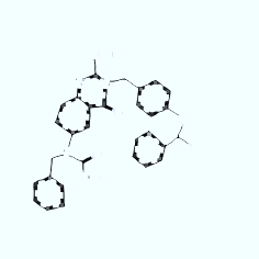 CCCCc1nc2ccc(N(Cc3ccccc3)C(=O)OCC(C)C)cc2c(=O)n1Cc1ccc(OC(C(=O)O)c2ccccc2)cc1